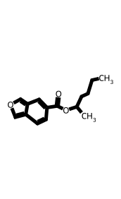 CCCCC(C)OC(=O)c1ccc2cocc2c1